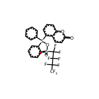 O=c1ccc2c(S(OS(=O)(=O)C(F)(F)C(F)(F)C(F)(F)C(F)(F)F)(c3ccccc3)c3ccccc3)cccc2o1